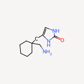 NCC1(Cc2c[nH]c(=O)[nH]2)CCCCC1